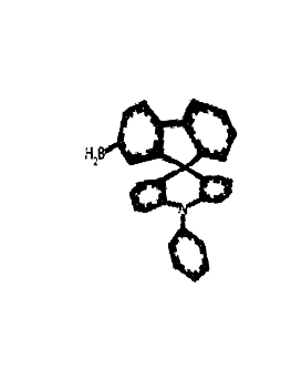 Bc1ccc2c(c1)C1(c3ccccc3-2)c2ccccc2N(c2ccccc2)c2ccccc21